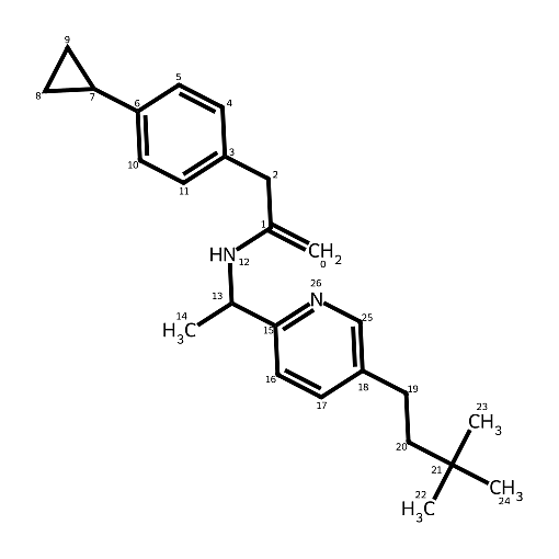 C=C(Cc1ccc(C2CC2)cc1)NC(C)c1ccc(CCC(C)(C)C)cn1